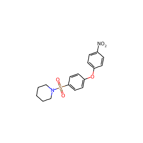 O=[N+]([O-])c1ccc(Oc2ccc(S(=O)(=O)N3CCCCC3)cc2)cc1